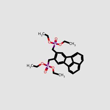 CCOP(=O)(Cc1cc2c(cc1CP(=O)(OCC)OCC)-c1cccc3cccc-2c13)OCC